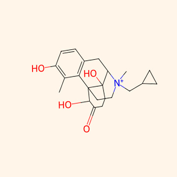 Cc1c(O)ccc2c1C13CC[N+](C)(CC4CC4)C(C2)C1(O)CCC(=O)C3O